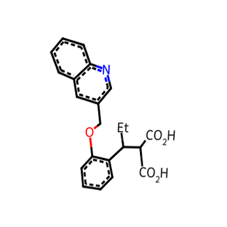 CCC(c1ccccc1OCc1cnc2ccccc2c1)C(C(=O)O)C(=O)O